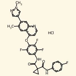 Cc1cc2c(Oc3c(F)cc(NC(=O)C4(C(=O)Nc5ccc(F)cc5)CC4)c(F)c3F)ccnc2cc1-c1cnn(C)c1.Cl